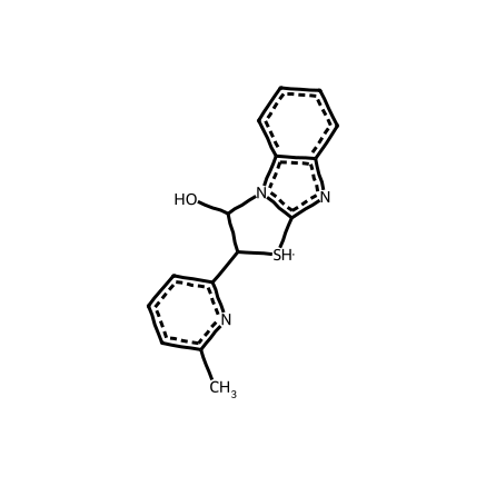 Cc1cccc(C2[SH]c3nc4ccccc4n3C2O)n1